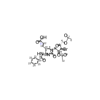 CC(=O)OC[C@H]1O[C@@H](n2cc(/C=C/C(=O)O)c(NC(=O)c3ccccc3)nc2=O)[C@H](OC(C)=O)[C@H]1Br